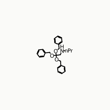 CCCNCC(OCc1ccccc1)(OCc1ccccc1)OCc1ccccc1